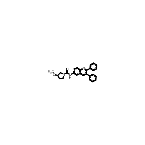 COC1CCN(C(=O)Nc2cc3cc(-c4ccccc4)c(-c4ccccc4)nc3cn2)C1